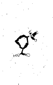 O=C(O)c1cccc(S(=O)(=O)F)c1